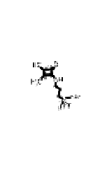 CCCN(CCC)CCCNC1=C(C)C(S)C1=O